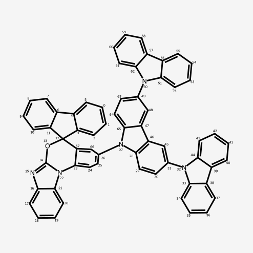 c1ccc2c(c1)-c1ccccc1C21Oc2nc3ccccc3n2-c2ccc(-n3c4ccc(-n5c6ccccc6c6ccccc65)cc4c4cc(-n5c6ccccc6c6ccccc65)ccc43)cc21